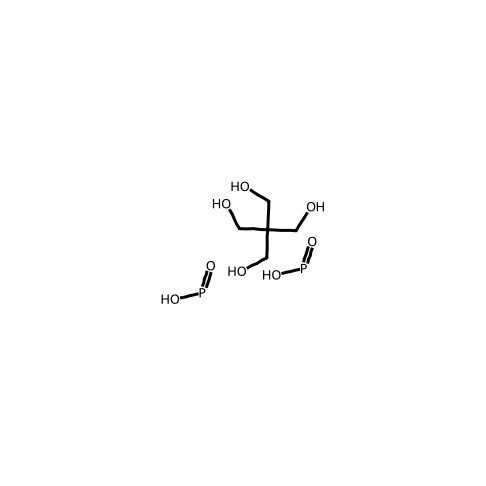 O=PO.O=PO.OCC(CO)(CO)CO